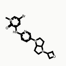 Cn1cc(Br)cc(Nc2ccc(N3CCC4C3CCN4C3COC3)cn2)c1=O